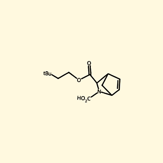 CC(C)(C)CCOC(=O)C1C2C=CC(C2)N1C(=O)O